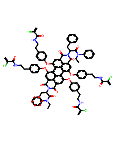 C=C(Cl)C(=O)NCCc1ccc(Oc2cc3c4c(cc(Oc5ccc(CCNC(=O)C(=C)Cl)cc5)c5c6c(Oc7ccc(CCNC(=O)C(=C)Cl)cc7)cc7c8c(cc(Oc9ccc(CCNC(=O)C(=C)Cl)cc9)c(c2c45)c86)C(=O)N(C(Cc2ccccc2)C(=O)N(CC)c2ccccc2)C7=O)C(=O)N(C(Cc2ccccc2)C(=O)N(CC)c2ccccc2)C3=O)cc1